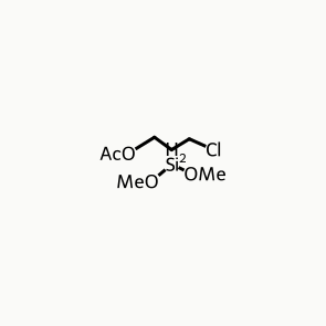 CC(=O)OCCCCl.CO[SiH2]OC